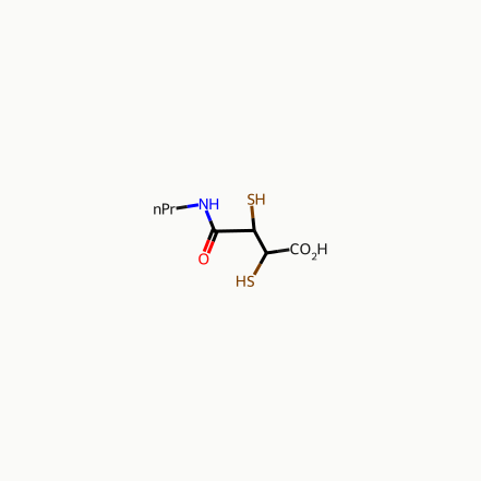 CCCNC(=O)C(S)C(S)C(=O)O